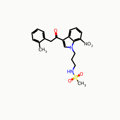 Cc1ccccc1CC(=O)c1cn(CCCNS(C)(=O)=O)c2c([N+](=O)[O-])cccc12